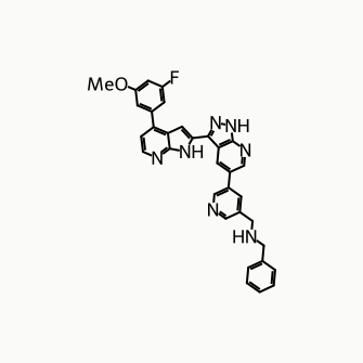 COc1cc(F)cc(-c2ccnc3[nH]c(-c4n[nH]c5ncc(-c6cncc(CNCc7ccccc7)c6)cc45)cc23)c1